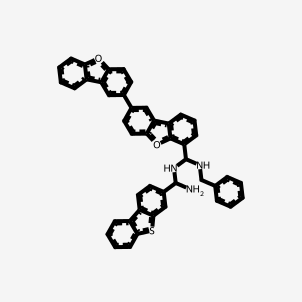 NC(NC(NCc1ccccc1)c1cccc2c1oc1ccc(-c3ccc4oc5ccccc5c4c3)cc12)c1ccc2c(c1)sc1ccccc12